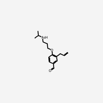 C=CCc1cc(C=O)ccc1OCCC[AsH]C(C)C